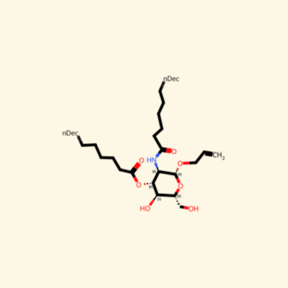 C=CCO[C@@H]1O[C@H](CO)[C@@H](O)[C@H](OC(=O)CCCCCCCCCCCCCCC)[C@H]1NC(=O)CCCCCCCCCCCCCCC